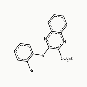 CCOC(=O)c1nc2ccccc2nc1Sc1ccccc1Br